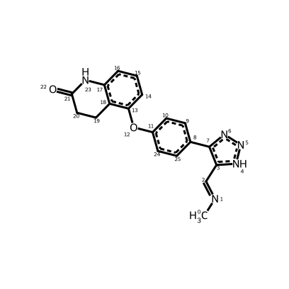 C/N=C/c1[nH]nnc1-c1ccc(Oc2cccc3c2CCC(=O)N3)cc1